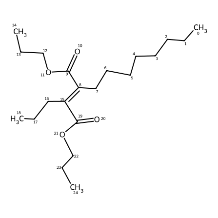 CCCCCCCCC(C(=O)OCCC)=C(CCC)C(=O)OCCC